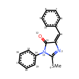 CSC1=NC(=Cc2ccccc2)C(=O)N1c1ccccc1